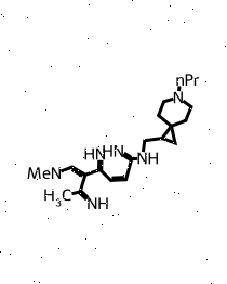 CCCN1CCC2(CC1)CC2CNC(=N)/C=C\C(=N)/C(=C/NC)C(C)=N